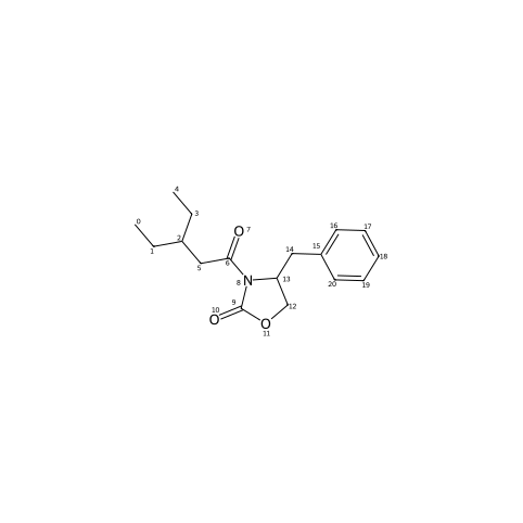 CCC(CC)CC(=O)N1C(=O)OCC1Cc1ccccc1